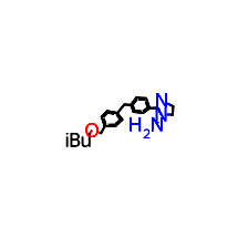 CCC(C)OCc1ccc(Cc2ccc(C3=NCCN3N)cc2)cc1